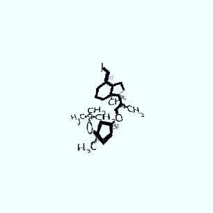 C[C@@H](CO[C@@H]1C=C[C@@](C)(O[Si](C)(C)C)C1)[C@H]1CCC2/C(=C/I)CCC[C@@]21C